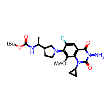 COc1c(N2CC[C@@H]([C@H](C)NC(=O)OC(C)(C)C)C2)c(F)cc2c(=O)n(N)c(=O)n(C3CC3)c12